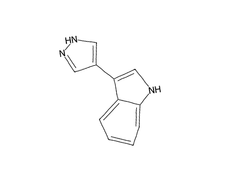 c1ccc2c(-c3cn[nH]c3)c[nH]c2c1